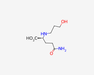 NC(=O)CC[C@H](NCCCO)C(=O)O